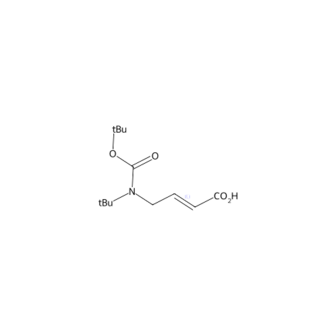 CC(C)(C)OC(=O)N(C/C=C/C(=O)O)C(C)(C)C